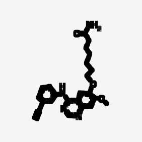 C#Cc1cccc(Nc2ncnc3cc(OC)c(OCCCCCCC(N)=O)cc23)c1